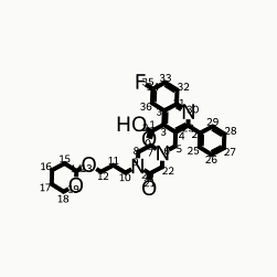 O=C(O)c1c(CN2CCN(CCCOC3CCCCO3)C(=O)C2)c(-c2ccccc2)nc2ccc(F)cc12